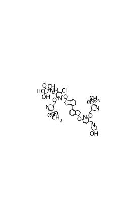 C[C@@](CCO)(NCc1cc(Cl)c(O[C@H]2CCc3c(-c4cccc5c4CC[C@@H]5Oc4ccc(CN5CC[C@@H](O)C5)c(OCc5cncc(S(C)(=O)=O)c5)n4)cccc32)nc1OCc1cncc(S(C)(=O)=O)c1)C(=O)O